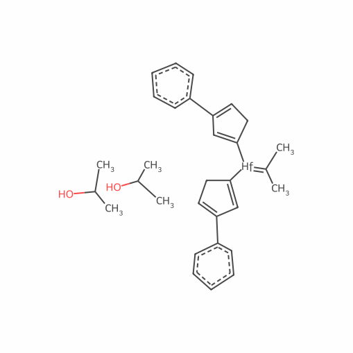 CC(C)O.CC(C)O.C[C](C)=[Hf]([C]1=CC(c2ccccc2)=CC1)[C]1=CC(c2ccccc2)=CC1